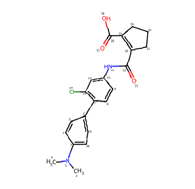 CN(C)c1ccc(-c2ccc(NC(=O)C3=C(C(=O)O)CCC3)cc2Cl)cc1